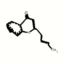 CC=CCC1CC(=O)c2ccccc2O1